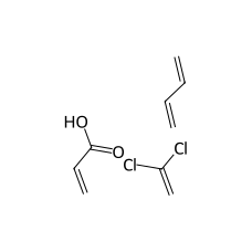 C=C(Cl)Cl.C=CC(=O)O.C=CC=C